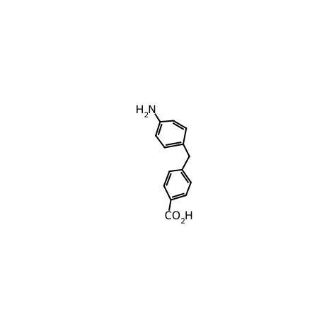 Nc1ccc(Cc2ccc(C(=O)O)cc2)cc1